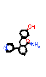 NC(=O)c1cccc(-c2ccncc2)c1Cc1ccc(O)cc1